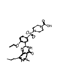 CCCc1nn(C)c2c(=O)[nH]c(-c3cc(S(=O)(=O)N4CCN(C(=O)O)CC4)ccc3OCC)nc12